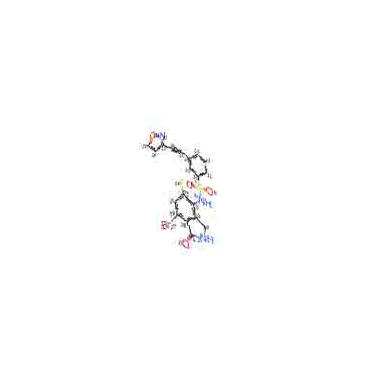 O=C1NCc2c(NS(=O)(=O)c3cccc(C#Cc4ccon4)c3)c(F)cc(Br)c21